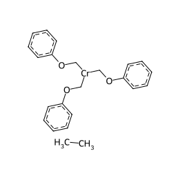 CC.c1ccc(O[CH2][Cr]([CH2]Oc2ccccc2)[CH2]Oc2ccccc2)cc1